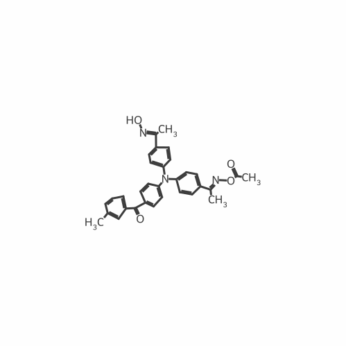 CC(=O)ON=C(C)c1ccc(N(c2ccc(C(=O)c3cccc(C)c3)cc2)c2ccc(C(C)=NO)cc2)cc1